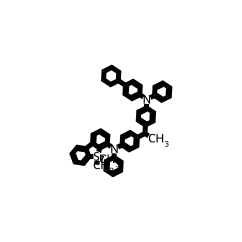 CC(c1ccc(N(c2ccccc2)c2ccc(C3CCCCC3)cc2)cc1)c1ccc(N(c2ccccc2)c2cccc3c2[Si](C)(C)c2ccccc2-3)cc1